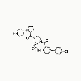 O=C1Nc2ccc(-c3ccc(Cl)cc3)cc2C(=O)N2CCN(C(=O)[C@@H]3CCCN3C3CCNCC3)C[C@@H]12